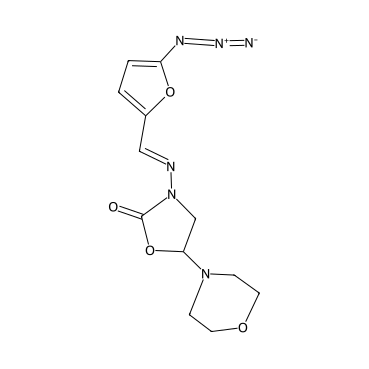 [N-]=[N+]=Nc1ccc(/C=N/N2CC(N3CCOCC3)OC2=O)o1